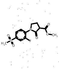 COC(=O)C1CCN(c2ccc(S(C)(=O)=O)cc2F)C1=O